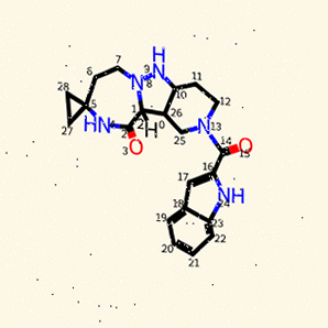 [2H]C12C(=O)NC3(CCN1NC1CCN(C(=O)c4cc5ccccc5[nH]4)CC12)CC3